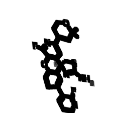 CC1(C)C=C(c2cc3c(c(F)n2)Oc2ccc(-c4cccnc4F)cc2[C@@]32CSC(N)=N2)CCO1